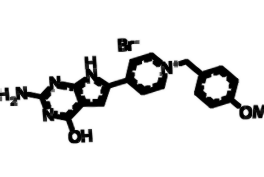 COc1ccc(C[n+]2ccc(-c3cc4c(O)nc(N)nc4[nH]3)cc2)cc1.[Br-]